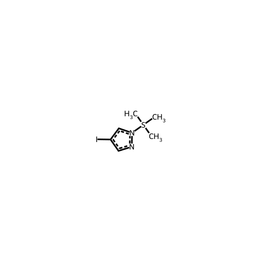 CS(C)(C)n1cc(I)cn1